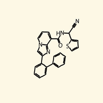 N#CC(NC(=O)c1cccn2cc(-c3ccccc3-c3ccccc3)nc12)c1cccs1